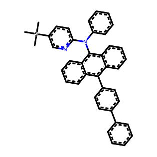 C[Si](C)(C)c1ccc(N(c2ccccc2)c2c3ccccc3c(-c3ccc(-c4ccccc4)cc3)c3ccccc23)nc1